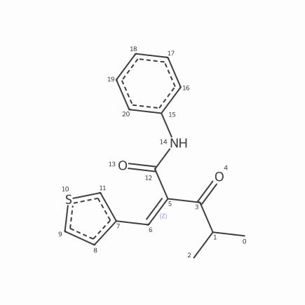 CC(C)C(=O)/C(=C/c1ccsc1)C(=O)Nc1ccccc1